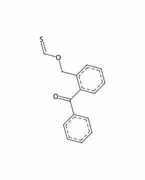 O=C(c1ccccc1)c1ccccc1COC=S